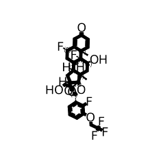 C[C@]12C=CC(=O)C=C1[C@@H](F)C[C@H]1[C@@H]3C[C@H]4O[C@@H](c5cccc(OCC(F)(F)F)c5F)O[C@@]4(C(=O)CO)[C@@]3(C)C[C@H](O)[C@@]12F